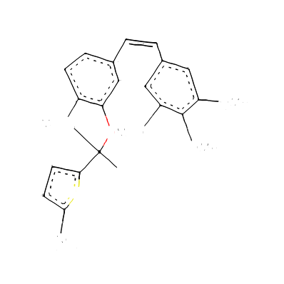 COc1ccc(/C=C\c2cc(OC)c(OC)c(OC)c2)cc1OC(C)(C)c1ccc([N+](=O)[O-])s1